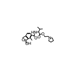 Cc1c(C(=O)NC(C(=O)OCCN2CCCC2)C(C)C)ccc2c1B(O)OC2